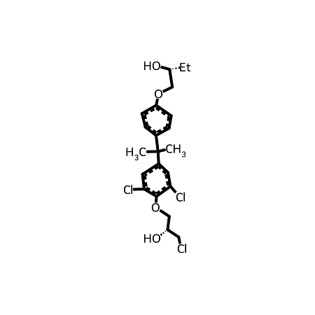 CC[C@@H](O)COc1ccc(C(C)(C)c2cc(Cl)c(OC[C@@H](O)CCl)c(Cl)c2)cc1